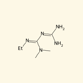 CC/N=C(/N=C(N)N)N(C)C